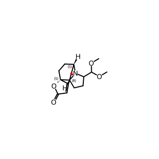 COC(OC)C1CC[C@H]2N1[C@@H]1C=CC3=CC(=O)O[C@@]32CC1